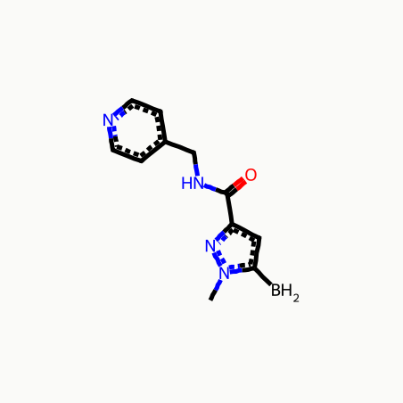 Bc1cc(C(=O)NCc2ccncc2)nn1C